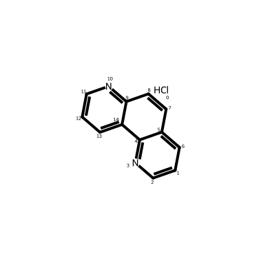 Cl.c1cnc2c(c1)ccc1ncccc12